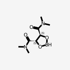 CN(C)C(=O)[C@H]1OBO[C@@H]1C(=O)N(C)C